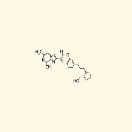 Cc1cn2cc(-c3cc4ccc(CCCN5CCC[C@@H]5CO)cc4oc3=O)nc2c(C)n1